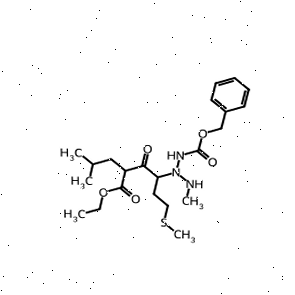 CCOC(=O)C(CC(C)C)C(=O)C(CCSC)N(NC)NC(=O)OCc1ccccc1